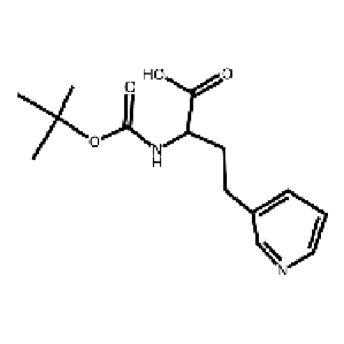 CC(C)(C)OC(=O)NC(CCc1cccnc1)C(=O)O